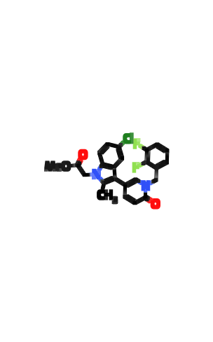 COC(=O)Cn1c(C)c(-c2ccc(=O)n(Cc3cccc(F)c3F)c2)c2cc(Cl)ccc21